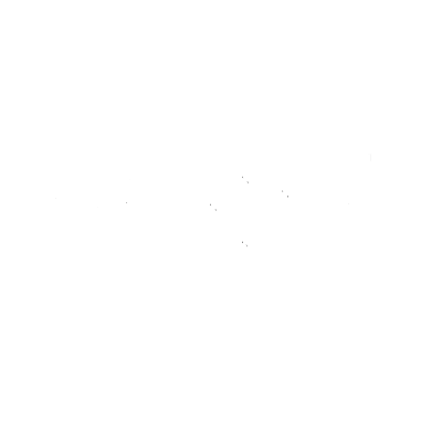 C#Cc1cccc(Oc2ncnc(N3CCC(OC(=O)OCC)CC3)c2[N+](=O)[O-])c1